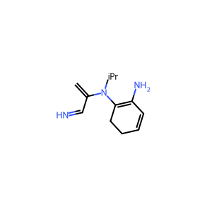 C=C(C=N)N(C1=C(N)C=CCC1)C(C)C